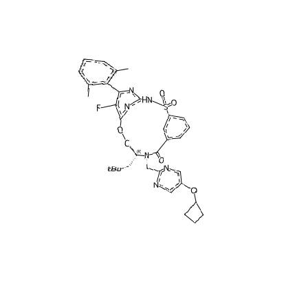 Cc1cccc(C)c1-c1nc2nc(c1F)OC[C@@H](CC(C)(C)C)N(Cc1ncc(OC3CCC3)cn1)C(=O)c1cccc(c1)S(=O)(=O)N2